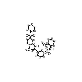 COc1ccc(S(=O)(=O)N2CCCCC2)cc1NC(=O)c1cccc(S(=O)(=O)Nc2ccccc2OC)c1